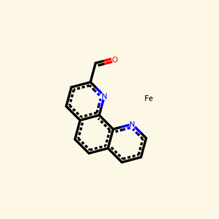 O=Cc1ccc2ccc3cccnc3c2n1.[Fe]